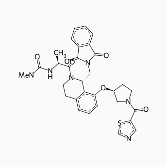 CNC(=O)N[C@@H](C)C(=O)N1CCc2cccc(O[C@H]3CCN(C(=O)c4cncs4)C3)c2[C@H]1CN1C(=O)c2ccccc2C1=O